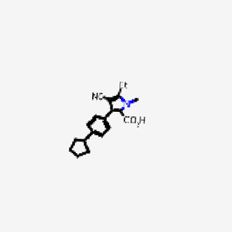 CCc1c(C#N)c(-c2ccc(C3CCCC3)cc2)c(C(=O)O)n1C